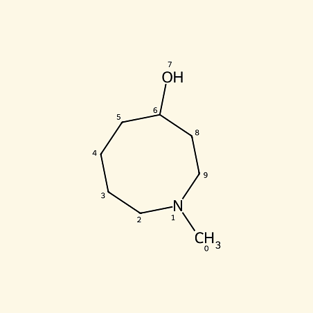 CN1CCCCC(O)CC1